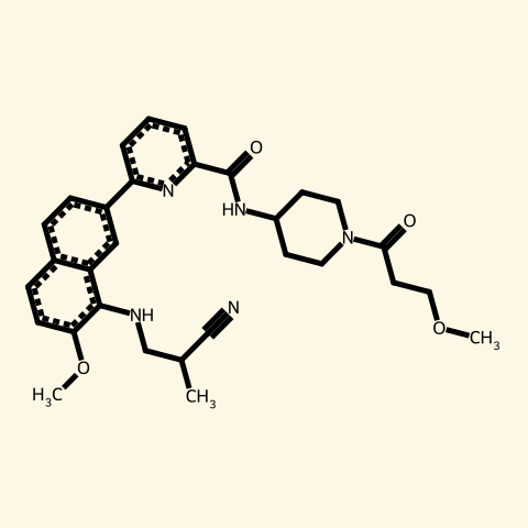 COCCC(=O)N1CCC(NC(=O)c2cccc(-c3ccc4ccc(OC)c(NCC(C)C#N)c4c3)n2)CC1